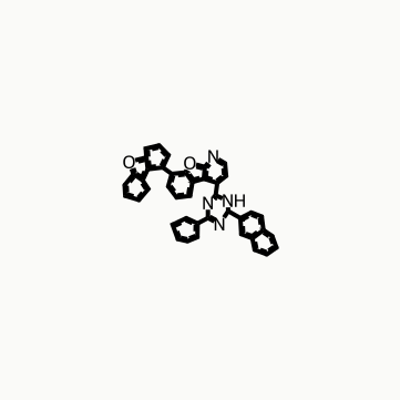 c1ccc(C2=NC(c3ccc4ccccc4c3)NC(c3ccnc4oc5c(-c6cccc7oc8ccccc8c67)cccc5c34)=N2)cc1